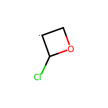 ClC1[CH]CO1